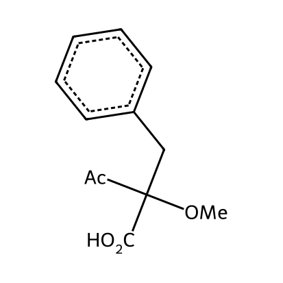 COC(Cc1ccccc1)(C(C)=O)C(=O)O